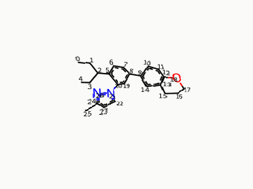 CCC(CC)c1ccc(-c2ccc3c(c2)CCCO3)cc1-n1ccc(C)n1